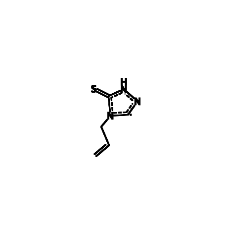 C=CCn1[c]n[nH]c1=S